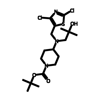 CC(C)(O)CN(Cc1sc(Cl)nc1Cl)C1CCN(C(=O)OC(C)(C)C)CC1